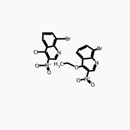 CCOc1c([N+](=O)[O-])cnc2c(Br)cccc12.O=[N+]([O-])c1cnc2c(Br)cccc2c1Cl